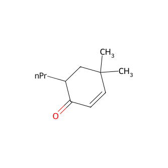 CCCC1CC(C)(C)C=CC1=O